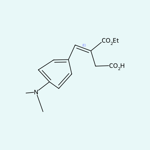 CCOC(=O)/C(=C/c1ccc(N(C)C)cc1)CC(=O)O